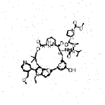 CCn1c(-c2cnccc2COC)c2c3cc(ccc31)-c1cc(O)cc(c1)C[C@H](NC(=O)[C@H](C(C)C)N(C)C(=O)[C@H]1CCN(C(=O)OC)C1)C(=O)N1CCC[C@H](N1)C(=O)OCC(C)(C)C2